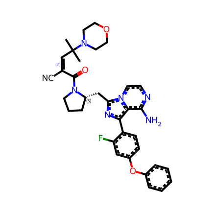 CC(C)(/C=C(/C#N)C(=O)N1CCC[C@H]1Cc1nc(-c2ccc(Oc3ccccc3)cc2F)c2c(N)nccn12)N1CCOCC1